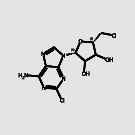 Nc1nc(Cl)nc2c1ncn2[C@@H]1O[C@H](CCl)C(O)C1O